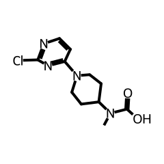 CN(C(=O)O)C1CCN(c2ccnc(Cl)n2)CC1